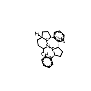 CC1CC[C@@H]2CC[C@@H](C)P2N1P1[C@H](c2ccccc2)CC[C@H]1c1ccccc1